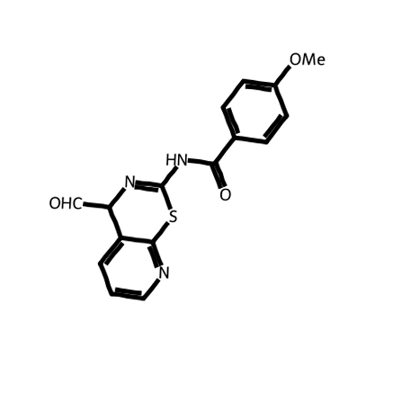 COc1ccc(C(=O)NC2=NC(C=O)c3cccnc3S2)cc1